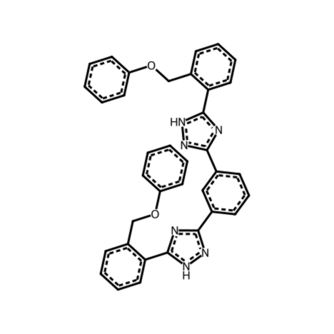 c1ccc(OCc2ccccc2-c2nc(-c3cccc(-c4n[nH]c(-c5ccccc5COc5ccccc5)n4)c3)n[nH]2)cc1